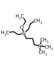 CCC[Si](CCC)(CCC[N+](C)(C)C)OCC